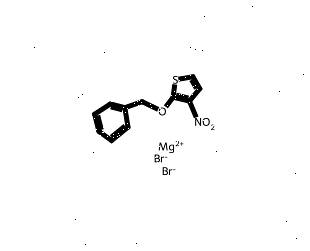 O=[N+]([O-])c1ccsc1OCc1ccccc1.[Br-].[Br-].[Mg+2]